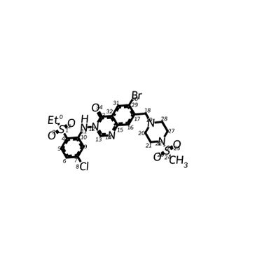 CCS(=O)(=O)c1ccc(Cl)cc1Nn1cnc2cc(CN3CCN(S(C)(=O)=O)CC3)c(Br)cc2c1=O